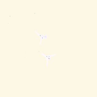 C=CCN(CC=C)C(=S)NC1CCCCC1